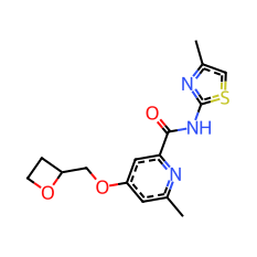 Cc1cc(OCC2CCO2)cc(C(=O)Nc2nc(C)cs2)n1